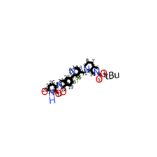 CC(C)(C)OC(=O)N1CC2CCCN(Cc3ccnc(-c4ccc5c(c4)CN(C4CCC(=O)NC4=O)C5=O)c3F)C2C1